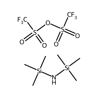 C[Si](C)(C)N[Si](C)(C)C.O=S(=O)(OS(=O)(=O)C(F)(F)F)C(F)(F)F